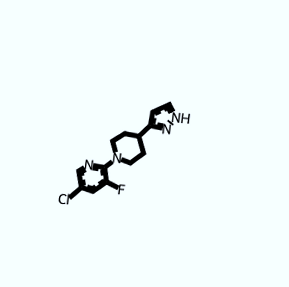 Fc1cc(Cl)cnc1N1CCC(c2cc[nH]n2)CC1